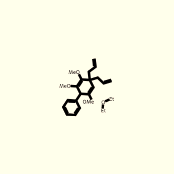 C=CCC1(CC=C)C=C(OC)C(c2ccccc2)C(OC)=C1OC.CCOCC